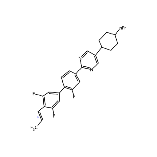 CCCC1CCC(c2cnc(-c3ccc(-c4cc(F)c(/C=C/C(F)(F)F)c(F)c4)c(F)c3)nc2)CC1